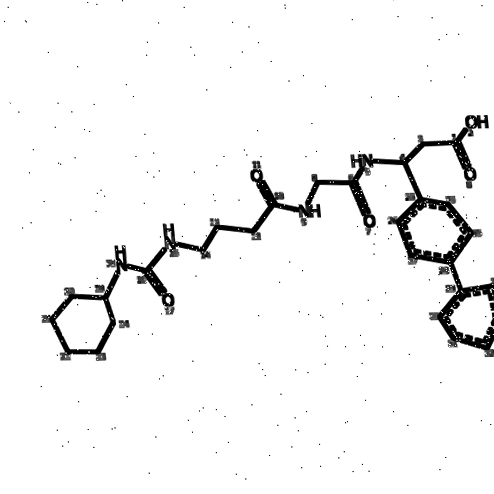 O=C(O)CC(NC(=O)CNC(=O)CCCNC(=O)NC1CCCCC1)c1ccc(-c2ccccc2)cc1